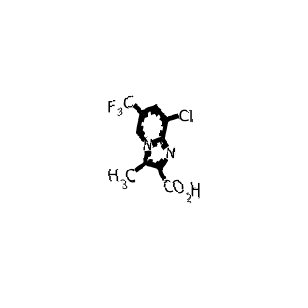 Cc1c(C(=O)O)nc2c(Cl)cc(C(F)(F)F)cn12